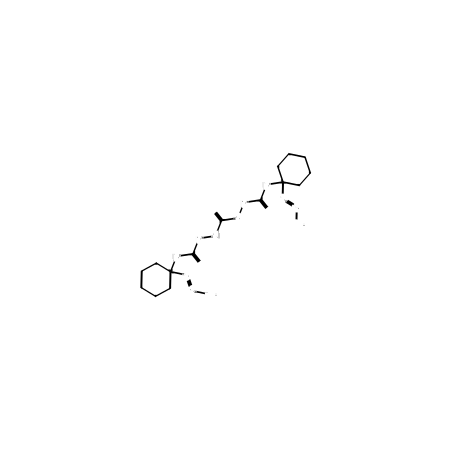 CC(C)(C)N=NC1(NC(=O)NNC(=O)NNC(=O)NC2(N=NC(C)(C)C)CCCCC2)CCCCC1